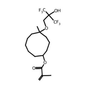 C=C(C)C(=O)OC1CCCCCC(C)(OCC(O)(C(F)(F)F)C(F)(F)F)CCC1